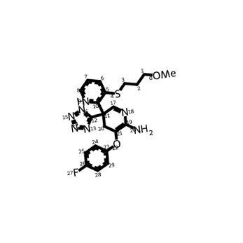 COCCCSc1cccnc1C1(c2nnn[nH]2)C=NC(N)=C(Oc2ccc(F)cc2)C1